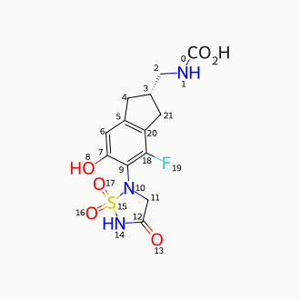 O=C(O)NC[C@H]1Cc2cc(O)c(N3CC(=O)NS3(=O)=O)c(F)c2C1